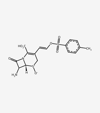 Cc1ccc(S(=O)(=O)O/C=C/C2=C(C(=O)O)N3C(=O)C(N)[C@H]3[S+]([O-])C2)cc1